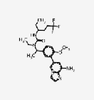 CCC(CCC(F)(F)F)NC(=O)N(CC)C(C)c1ccc(OC)c(-c2cc(N)c3nccn3c2)c1